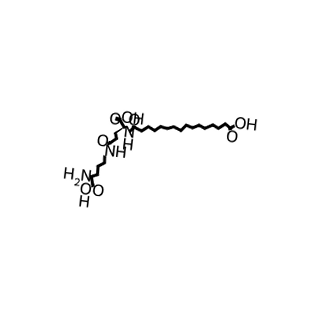 N[C@@H](CCCCNC(=O)CC[C@H](NC(=O)CCCCCCCCCCCCCCC(=O)O)C(=O)O)C(=O)O